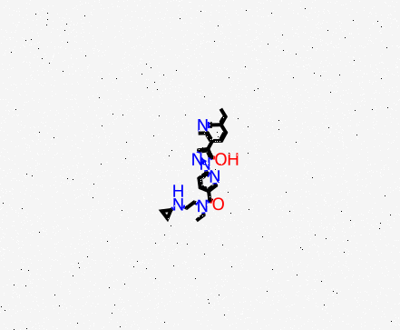 C/C=C(C#N)/C=C\C(=C\C)c1cnn(-c2ccc(C(=O)N(CC)CCNC3CC3)cn2)c1O